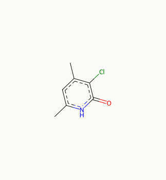 Cc1cc(C)c(Cl)c(=O)[nH]1